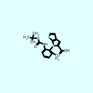 Cc1cccc(NC(=O)OC(C)(C)C)c1-n1c(C(=O)O)cc2ccsc21